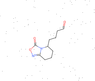 O=CCCCC1CCCc2noc(=O)n21